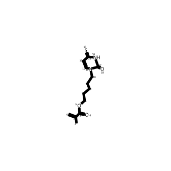 C=C(C)C(=O)OCCCCCn1ccc(=S)[nH]c1=O